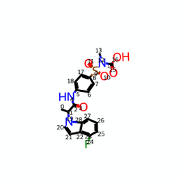 CC(C(=O)Nc1ccc(S(=O)(=O)N(C)C(=O)O)cc1)n1ccc2c(F)cccc21